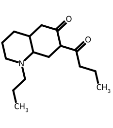 CCCC(=O)C1CC2C(CCCN2CCC)CC1=O